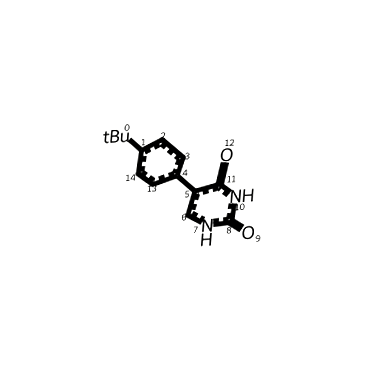 CC(C)(C)c1ccc(-c2c[nH]c(=O)[nH]c2=O)cc1